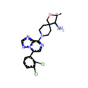 C[C@@H]1OCC2(CCN(c3ncc(-c4cccc(Cl)c4Cl)n4ncnc34)CC2)C1N